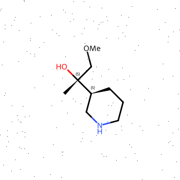 COC[C@@](C)(O)[C@H]1CCCNC1